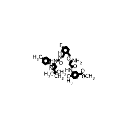 COC(=O)c1ccc(C)c(NC(=O)/C=C(\N)OCc2ccc(F)cc2CNC(=O)Nc2cc(C(C)(C)C)nn2-c2ccc(C)cc2)c1